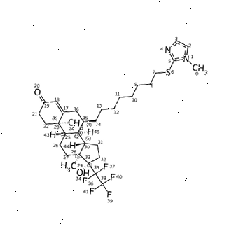 Cn1ccnc1SCCCCCCCC[C@@H]1CC2=CC(=O)CC[C@]2(C)[C@H]2CC[C@@]3(C)[C@@H](CC[C@@]3(O)C(F)(F)C(F)(F)F)[C@H]12